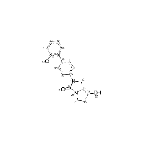 O=C1N(c2ccc(-n3ccccc3=O)cc2)CC2[C@@H](O)CCN12